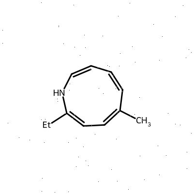 CCc1ccc(C)cccc[nH]1